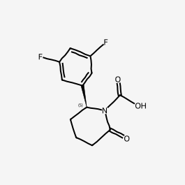 O=C(O)N1C(=O)CCC[C@H]1c1cc(F)cc(F)c1